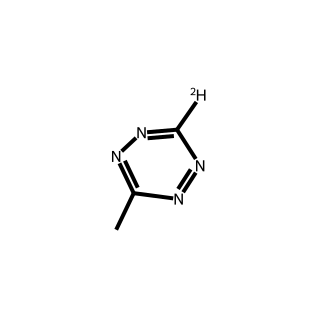 [2H]c1nnc(C)nn1